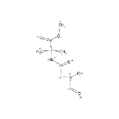 COC(=O)C(C)(C)NC(=O)CN(O)C=O